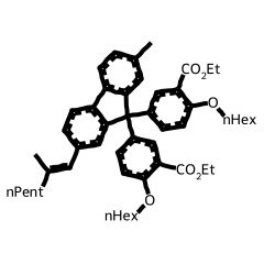 CCCCCCOc1ccc(C2(c3ccc(OCCCCCC)c(C(=O)OCC)c3)c3cc(C)ccc3-c3ccc(C=C(C)CCCCC)cc32)cc1C(=O)OCC